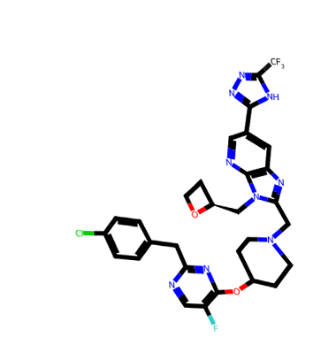 Fc1cnc(Cc2ccc(Cl)cc2)nc1OC1CCN(Cc2nc3cc(-c4nnc(C(F)(F)F)[nH]4)cnc3n2C[C@@H]2CCO2)CC1